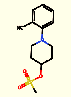 CS(=O)(=O)OC1CCN(c2ccccc2C#N)CC1